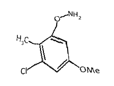 COc1cc(Cl)c(C)c(ON)c1